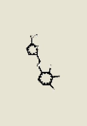 O=Cc1ccc(COc2ccc(F)c(F)c2F)o1